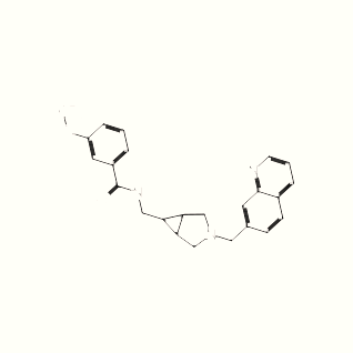 O=C(NCC1C2CN(Cc3ccc4cccnc4c3)CC12)c1cccc(OC(F)(F)F)c1